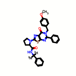 [2H]C([2H])(NC(=O)C1CCCN1c1nc2c(=O)n(Cc3ccc(OC)cc3)c(-c3ccccc3)nc2s1)c1ccccc1